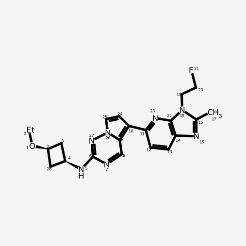 CCO[C@H]1C[C@@H](Nc2ncc3c(-c4ccc5nc(C)n(CCF)c5n4)ccn3n2)C1